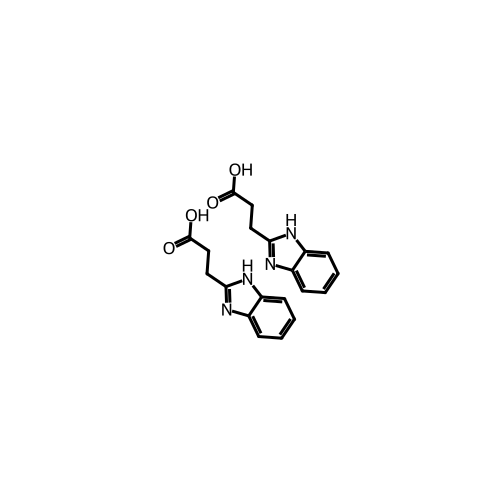 O=C(O)CCc1nc2ccccc2[nH]1.O=C(O)CCc1nc2ccccc2[nH]1